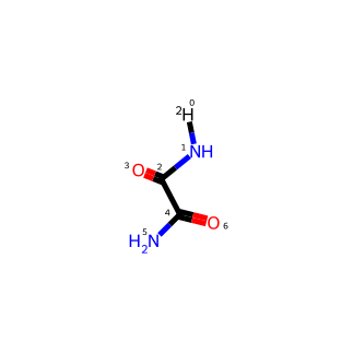 [2H]NC(=O)C(N)=O